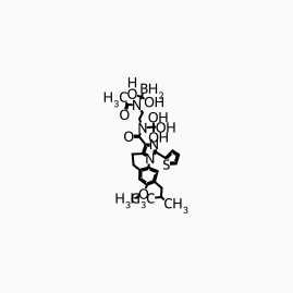 BC(O)(O)N(CCN(C(=O)c1nc(-c2cccs2)n2c1CCc1cc(OC)c(CC(C)C)cc1-2)C(O)(O)O)C(C)=O